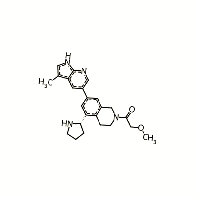 COCC(=O)N1CCc2c(cc(-c3cnc4[nH]cc(C)c4c3)cc2[C@@H]2CCCN2)C1